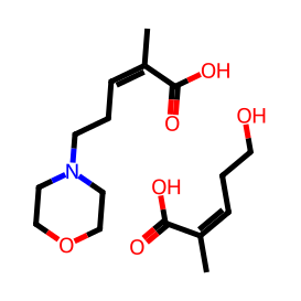 CC(=CCCN1CCOCC1)C(=O)O.CC(=CCCO)C(=O)O